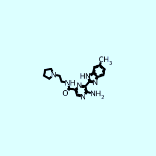 Cc1ccc2nc(-c3nc(C(=O)NCCN4CCCC4)cnc3N)[nH]c2c1